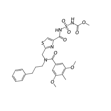 COC(=O)NS(=O)(=O)NC(=O)c1csc(CN(CCCc2ccccc2)C(=O)c2cc(OC)c(C)c(OC)c2)n1